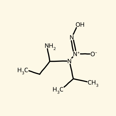 CCC(N)N(C(C)C)/[N+]([O-])=N/O